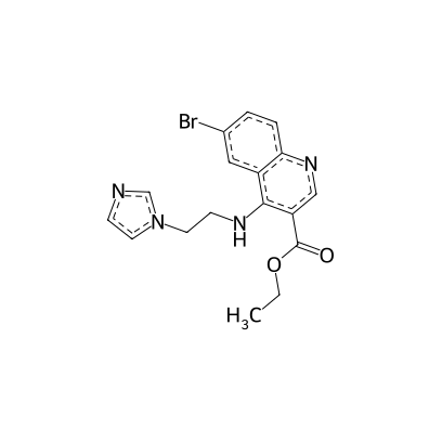 CCOC(=O)c1cnc2ccc(Br)cc2c1NCCn1ccnc1